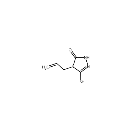 C=CCn1c(S)n[nH]c1=O